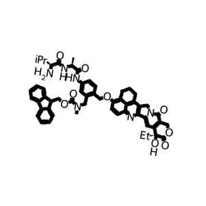 CC[C@@]1(O)C(=O)OCc2c1cc1n(c2=O)Cc2c-1nc1ccc(OCc3ccc(NC(=O)[C@H](C)NC(=O)[C@@H](N)C(C)C)cc3CN(C)C(=O)OCC3c4ccccc4-c4ccccc43)c3c1c2CCC3